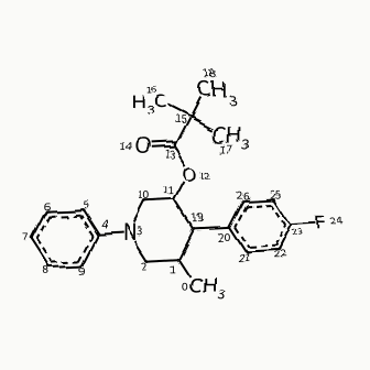 CC1CN(c2ccccc2)CC(OC(=O)C(C)(C)C)C1c1ccc(F)cc1